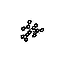 c1ccc(-c2cc(-c3ccccc3)cc(N3c4cc5cc6c7ccccc7c7ccccc7c6cc5cc4B4c5c3cc3ccccc3c5-c3cc5c6ccccc6oc5c5c6ccccc6n4c35)c2)cc1